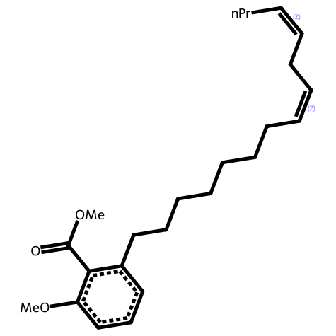 CCC/C=C\C/C=C\CCCCCCCc1cccc(OC)c1C(=O)OC